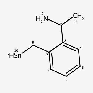 CC(N)c1ccccc1[CH2][SnH]